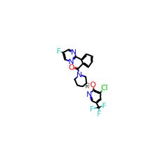 O=C(c1ccccc1-c1ncc(F)cn1)N1CCC[C@@H](Oc2ncc(C(F)(F)F)cc2Cl)C1